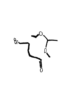 COC(C)OC.O=CCCBr